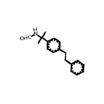 CC(C)(NC=O)c1ccc(CCc2ccccc2)cc1